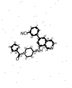 N#Cc1cccc(-c2cc(NC3CCN(C(=O)c4cccs4)CC3)c3cnccc3c2)c1